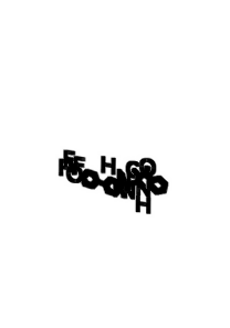 Cc1c(-c2nc3cc(-c4ccc(OC(F)(F)F)cc4)ccn3n2)[nH]c2ccccc2c1=O